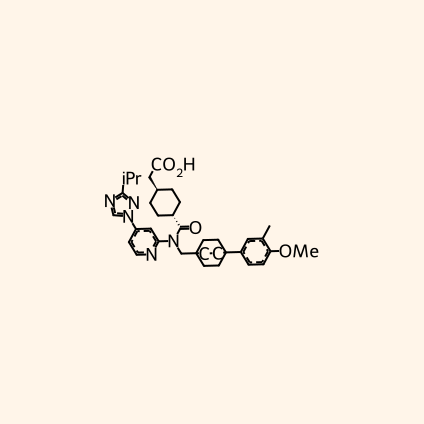 COc1ccc(C23CCC(CN(c4cc(-n5cnc(C(C)C)n5)ccn4)C(=O)[C@H]4CC[C@H](CC(=O)O)CC4)(CC2)CC3)cc1C